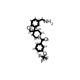 NCc1ccc2c(c1)C1(CCN(C(=O)c3cccc(OC(F)(F)F)c3)CC1)CO2